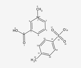 C[n+]1cccc(C(=O)O)c1.Cc1ccc(S(=O)(=O)[O-])cc1